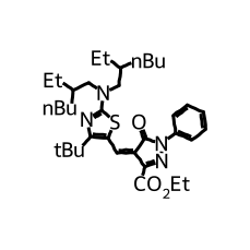 CCCCC(CC)CN(CC(CC)CCCC)c1nc(C(C)(C)C)c(/C=C2\C(=O)N(c3ccccc3)N=C2C(=O)OCC)s1